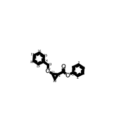 O=C(Oc1ccccc1)C1CC1OCc1ccccc1